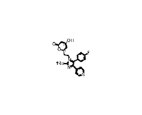 CC(C)(C)c1nc(-c2ccncc2)c(-c2ccc(F)cc2)n1CC[C@@H]1C[C@@H](O)CC(=O)O1